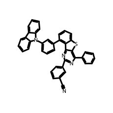 N#Cc1cccc(-c2nc(-c3ccccc3)c3sc4cccc(-c5cccc(-n6c7ccccc7c7ccccc76)c5)c4c3n2)c1